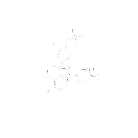 O=C(NC1(c2ccc(OC(F)(F)F)c(F)c2)CCOc2c(F)ccnc21)c1ccc(=O)[nH]c1